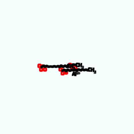 CC(=O)CC(=O)[O-].CCCCCCCCCCCCCC(=O)CC(=O)[O-].CCCCCCCCCCCCCC(=O)CC(=O)[O-].[Al+3]